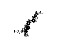 CC(C)(C)OC(=O)c1sc(-c2cccc(N[C@H]3CCN(S(=O)(=O)Cc4ccc(F)c(NC(=O)C5CN(C(=O)OC(C)(C)C)C5)c4)C(C)(C)C3)c2F)c(Cl)c1OCC(=O)O